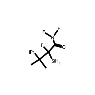 CC(C)C(C)(C)C(F)([SiH3])C(=O)N(F)F